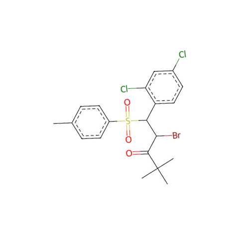 Cc1ccc(S(=O)(=O)C(c2ccc(Cl)cc2Cl)C(Br)C(=O)C(C)(C)C)cc1